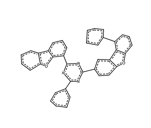 c1ccc(-c2nc(-c3ccc4oc5cccc(-c6ccccc6)c5c4c3)nc(-c3cccc4c3oc3ccccc34)n2)cc1